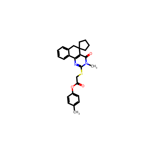 Cc1ccc(OC(=O)CSc2nc3c(c(=O)n2C)C2(CCCC2)Cc2ccccc2-3)cc1